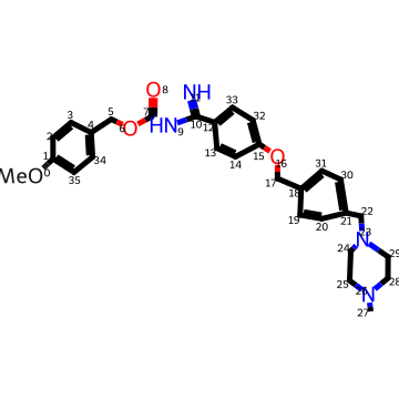 COc1ccc(COC(=O)NC(=N)c2ccc(OCc3ccc(CN4CCN(C)CC4)cc3)cc2)cc1